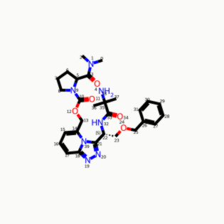 CN(C)C(=O)C1CCCN1C(=O)OCc1cccc2nnc([C@@H](COCc3ccccc3)NC(=O)C(C)(C)N)n12